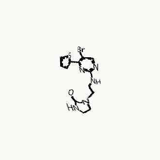 O=C1NCCN1CCNc1ncc(Br)c(-c2cccs2)n1